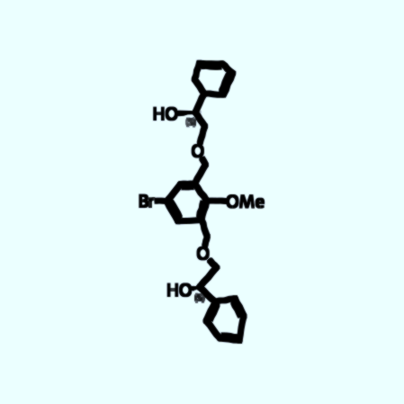 COc1c(COC[C@@H](O)c2ccccc2)cc(Br)cc1COC[C@@H](O)C1C=CC=CC1